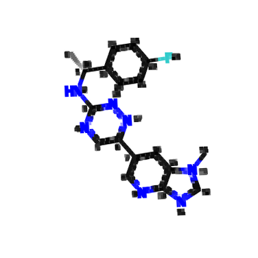 C[C@@H](Nc1ncc(-c2cnc3ncn(C)c3c2)nn1)c1ccc(F)cc1